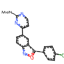 CNc1nccc(-c2ccc3noc(-c4ccc(Cl)cc4)c3c2)n1